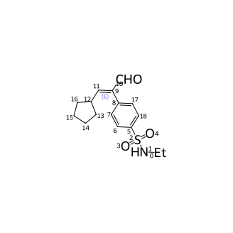 CCNS(=O)(=O)c1ccc(/C(C=O)=C\C2CCCC2)cc1